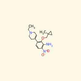 CCN1CC=C(c2ccc([N+](=O)[O-])c(N)c2OCC2(C)CC2)CC1